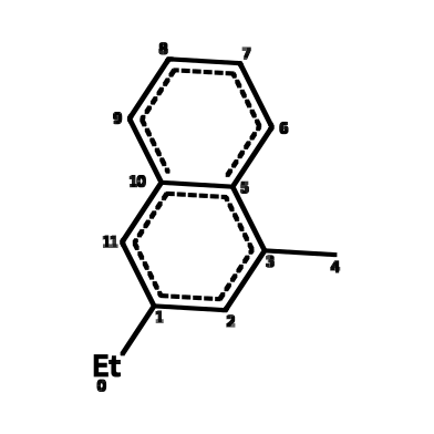 CCc1cc(C)c2ccccc2c1